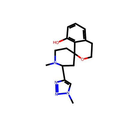 CN1CCC2(CC1c1cn(C)nn1)OCCc1cccc(O)c12